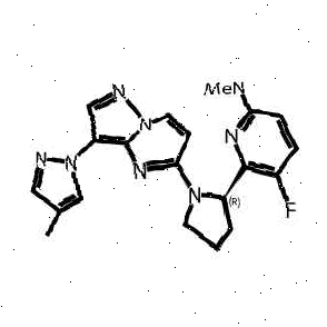 CNc1ccc(F)c([C@H]2CCCN2c2ccn3ncc(-n4cc(C)cn4)c3n2)n1